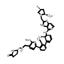 COc1nc(-c2cccc(-c3cccc(Nc4nccc5c4NC(CN4C[C@@H](F)C[C@H]4C(=O)O)S5)c3Cl)c2Cl)ccc1CNC[C@@H]1CCC(=O)N1